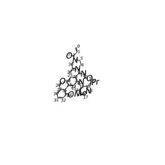 C=CC(=O)N1CCN(c2nc(=O)n(-c3c(C)ccnc3C(C)C)c3cc4c(cc23)OCc2cccc(OC)c2-4)[C@@H](C)C1